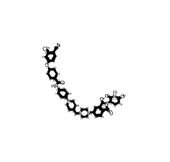 N#Cc1ccc(OC2CCC(C(=O)Nc3ccc(N4CCC(CN5CCN(c6ccc7c(c6)C(=O)N(C6CCC(=O)NC6=O)C7=O)CC5)CC4)cc3)CC2)cc1Cl